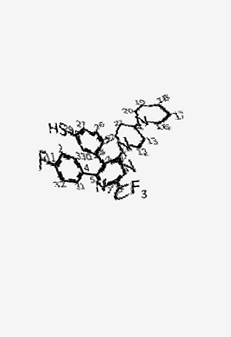 Fc1ccc(-c2nc(C(F)(F)F)nc(N3CCC(N4CCCCC4)CC3)c2-c2cccc(S)c2)cc1